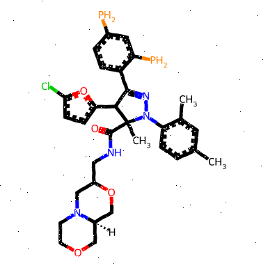 Cc1ccc(N2N=C(c3ccc(P)cc3P)C(c3ccc(Cl)o3)C2(C)C(=O)NCC2CN3CCOC[C@@H]3CO2)c(C)c1